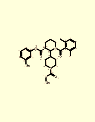 Cc1cccc(C)c1C(=O)N1CCC[C@H](C(=O)Nc2cccc(C(C)(C)C)c2)C1C1CCN(C(=O)OC(C)(C)C)CC1